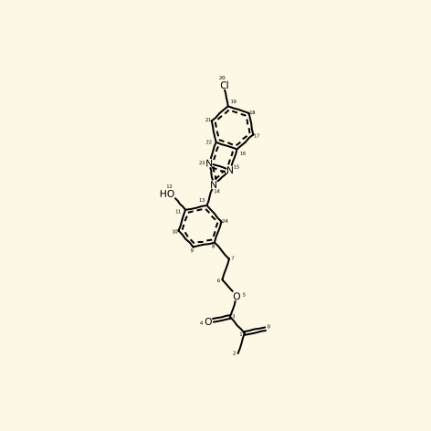 C=C(C)C(=O)OCCc1ccc(O)c(-n2n3c4ccc(Cl)cc4n23)c1